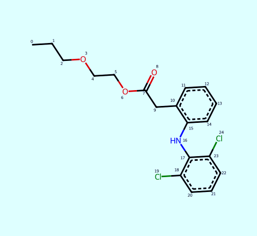 CCCOCCOC(=O)Cc1ccccc1Nc1c(Cl)cccc1Cl